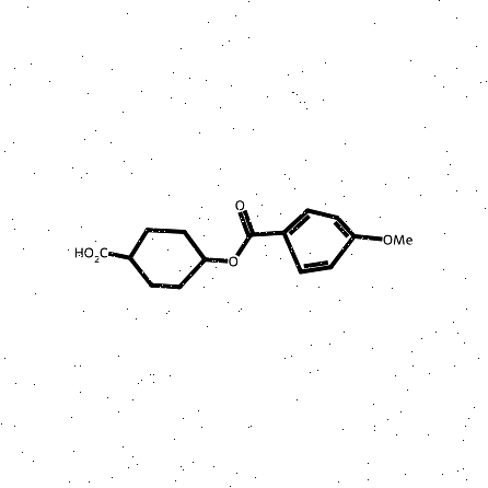 COc1ccc(C(=O)OC2CCC(C(=O)O)CC2)cc1